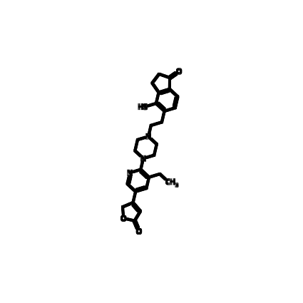 CCc1cc(C2=CC(=O)OC2)cnc1N1CCN(CCc2ccc3c(c2S)CCC3=O)CC1